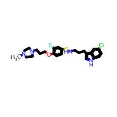 CN1CCN(CCCOc2ccc(SNCCCc3c[nH]c4ccc(Cl)cc34)cc2F)CC1